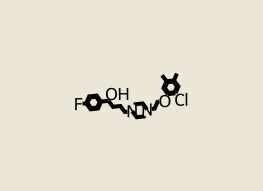 Cc1cc(Cl)c(OCCN2CCN(CCCC(O)c3ccc(F)cc3)CC2)cc1C